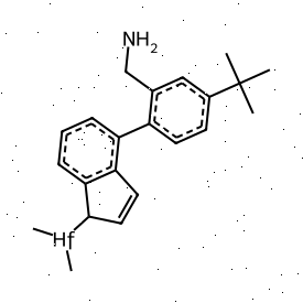 [CH3][Hf]([CH3])[CH]1C=Cc2c(-c3ccc(C(C)(C)C)cc3CN)cccc21